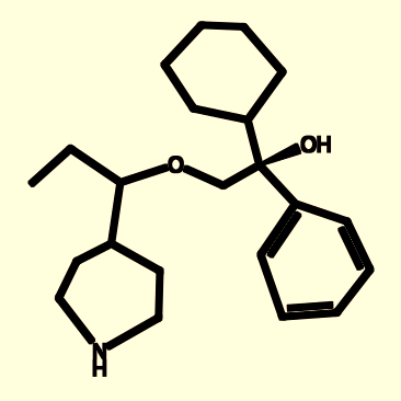 CCC(OC[C@@](O)(c1ccccc1)C1CCCCC1)C1CCNCC1